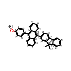 CCOc1ccc(-c2c3ccccc3c(-c3ccc4c(c3)C(C)(C)c3ccccc3-4)c3ccccc23)cc1